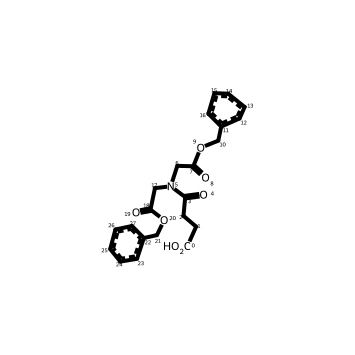 O=C(O)CCC(=O)N(CC(=O)OCc1ccccc1)CC(=O)OCc1ccccc1